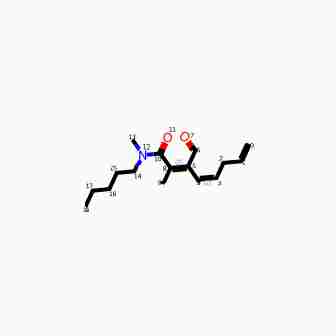 C=CC/C=C\C(C=O)=C(/C)C(=O)N(C)CCCCC